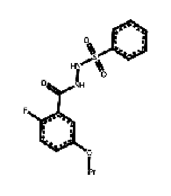 CC(C)Oc1ccc(F)c(C(=O)NNS(=O)(=O)c2ccccc2)c1